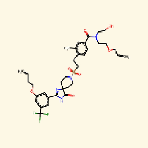 C=CCCOc1cc(C2=NC3(CCN(S(=O)(=O)CCc4ccc(C(=O)N(CCO)CCOCC=C)cc4C)CC3)C(=O)N2)cc(C(F)(F)F)c1